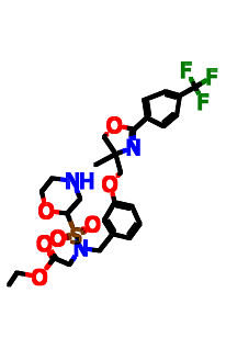 CCOC(=O)CN(Cc1cccc(OCC2(C)COC(c3ccc(C(F)(F)F)cc3)=N2)c1)S(=O)(=O)C1CNCCO1